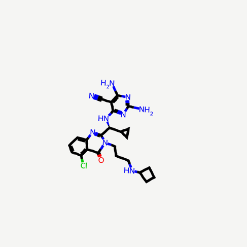 N#Cc1c(N)nc(N)nc1N[C@H](c1nc2cccc(Cl)c2c(=O)n1CCCNC1CCC1)C1CC1